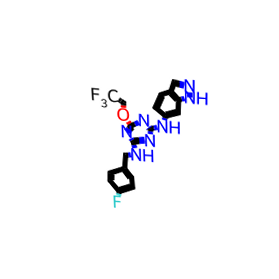 Fc1ccc(CNc2nc(Nc3ccc4cn[nH]c4c3)nc(OCC(F)(F)F)n2)cc1